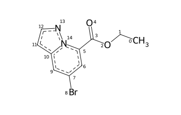 CCOC(=O)c1cc(Br)cc2ccnn12